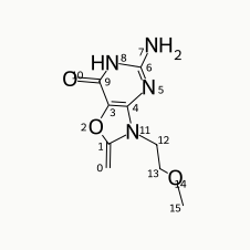 C=C1Oc2c(nc(N)[nH]c2=O)N1CCOC